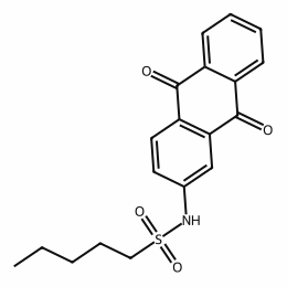 CCCCCS(=O)(=O)Nc1ccc2c(c1)C(=O)c1ccccc1C2=O